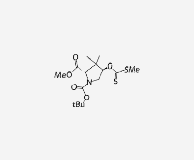 COC(=O)[C@H]1N(C(=O)OC(C)(C)C)C[C@H](OC(=S)SC)C1(C)C